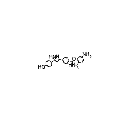 CC(NC(=O)c1ccc(-c2cc(-c3ccc(O)cc3)[nH]n2)cc1)c1ccc(N)cc1